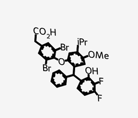 COc1cc(C(c2ccccc2)c2ccc(F)c(F)c2O)c(Oc2c(Br)cc(CC(=O)O)cc2Br)cc1C(C)C